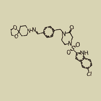 O=C1CN(S(=O)(=O)c2cc3cc(Cl)ccc3[nH]2)CCN1Cc1ccc(/C=N/N2CCC3(CC2)OCCO3)cc1